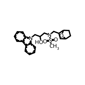 CS(=O)(=O)N(CC(O)Cn1c2ccccc2c2ccccc21)CC1CC2CCC1O2